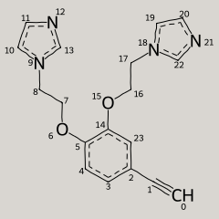 C#Cc1ccc(OCCn2ccnc2)c(OCCn2ccnc2)c1